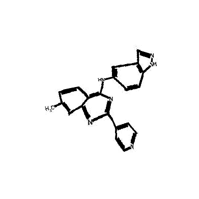 Cc1ccc2c(Nc3ccc4[nH]ncc4c3)nc(-c3ccncc3)nc2c1